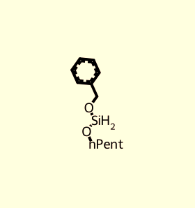 CCCCCO[SiH2]OCc1ccccc1